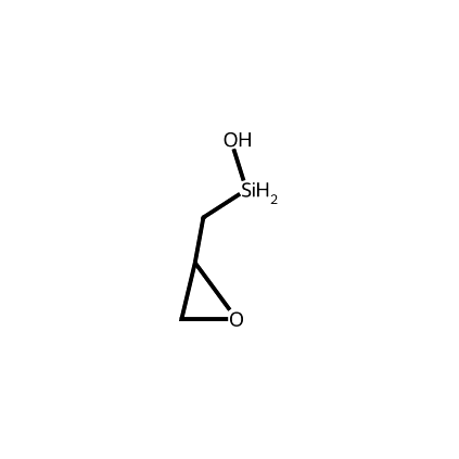 O[SiH2]CC1CO1